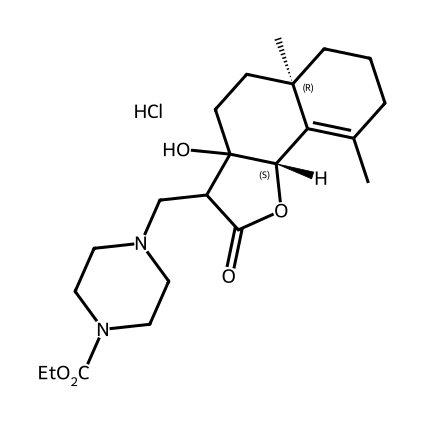 CCOC(=O)N1CCN(CC2C(=O)O[C@H]3C4=C(C)CCC[C@]4(C)CCC23O)CC1.Cl